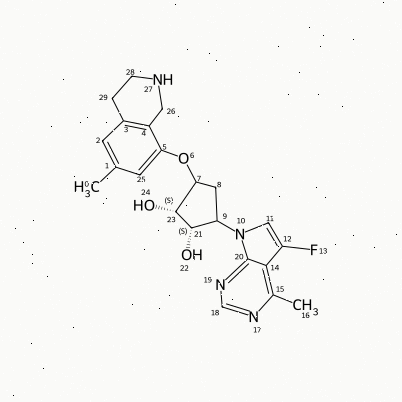 Cc1cc2c(c(OC3CC(n4cc(F)c5c(C)ncnc54)[C@H](O)[C@@H]3O)c1)CNCC2